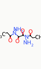 CCC(=O)N(N)C(=O)C(=O)N(N)C(=O)CC